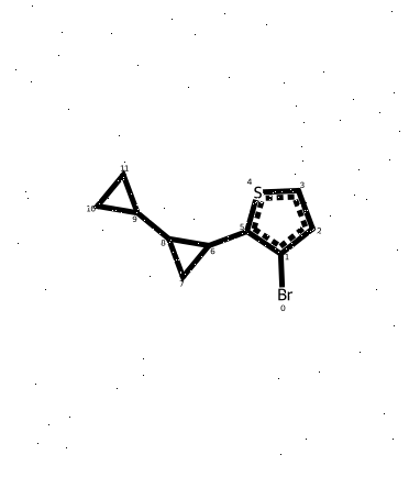 Brc1ccsc1C1CC1C1CC1